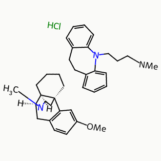 CNCCCN1c2ccccc2CCc2ccccc21.COc1ccc2c(c1)[C@]13CCCC[C@@H]1[C@H](C2)N(C)CC3.Cl